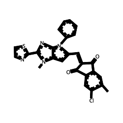 Cc1cc2c(cc1Cl)C(=O)/C(=C\c1cc3c(nc(-c4nccs4)n3C)n1-c1ccccc1)C2=O